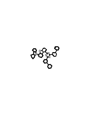 c1cccc(C2=CC(c3nc(C4=CC=CC5Oc6c(cccc6-n6c7ccccc7c7ccccc76)C45)nc(-c4cccc(-c5ccccc5)c4)n3)=CCC2)c#1